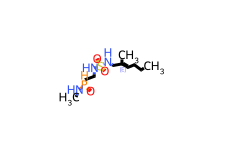 CCC/C=C(\C)CNS(=O)(=O)NCC[PH](=O)NC